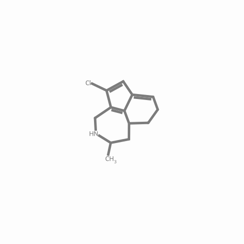 CC1CC2CCC=C3C=C(Cl)C(=C32)CN1